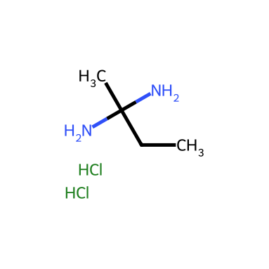 CCC(C)(N)N.Cl.Cl